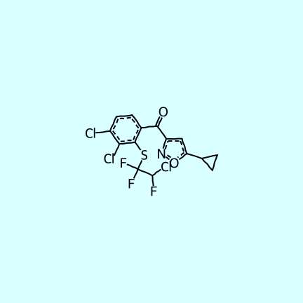 O=C(c1cc(C2CC2)on1)c1ccc(Cl)c(Cl)c1SC(F)(F)C(F)Cl